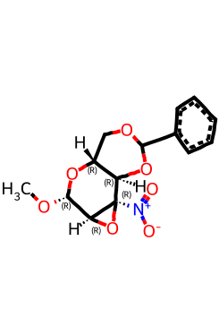 CO[C@@H]1O[C@@H]2COC(c3ccccc3)O[C@H]2[C@@]2([N+](=O)[O-])O[C@@H]12